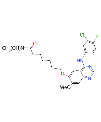 COc1cc2ncnc(Nc3ccc(F)c(Cl)c3)c2cc1OCCCCCCC(=O)N(C)O